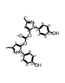 Cc1cc(OC(=O)Oc2cc(C)nn2-c2ccc(O)cc2)n(-c2ccc(O)cc2)n1